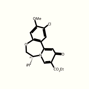 CCOC(=O)c1cn2c(cc1=O)-c1cc(Cl)c(OC)cc1OC[C@H]2C(C)C